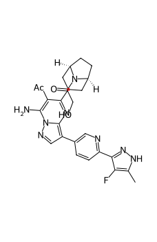 CC(=O)c1c(C2C[C@H]3CC[C@@H](C2)N3C(=O)CO)nc2c(-c3ccc(-c4n[nH]c(C)c4F)nc3)cnn2c1N